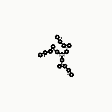 c1cc(-c2cc(-c3ccc(-n4c5ccccc5c5cc(-c6ccc7c(c6)oc6ccccc67)ccc54)cc3)nc(-c3ccc(-n4c5ccccc5c5cc(-c6ccc7c(c6)oc6ccccc67)ccc54)cc3)n2)cc(-n2c3ccccc3c3cc(-c4ccc5c(c4)oc4ccccc45)ccc32)c1